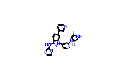 c1cncc(-c2ccc3c(Nc4cnccn4)nn(-c4ccnc(N5C[C@@H]6C[C@H]5CN6)c4)c3c2)c1